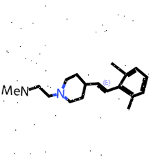 CNCCN1CCC(/C=C/c2c(C)cccc2C)CC1